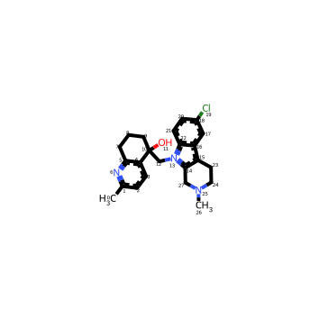 Cc1ccc2c(n1)CCCC2(O)Cn1c2c(c3cc(Cl)ccc31)CCN(C)C2